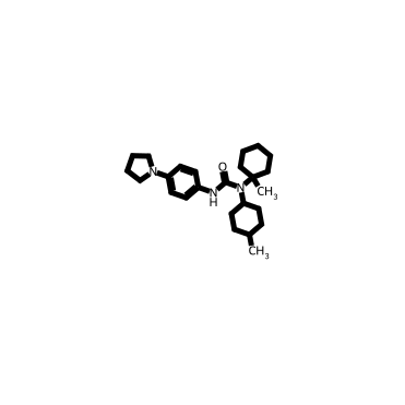 CC1CCC(N(C(=O)Nc2ccc(N3CCCC3)cc2)C2(C)CCCCC2)CC1